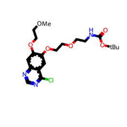 COCCOc1cc2ncnc(Cl)c2cc1OCCOCCNC(=O)OC(C)(C)C